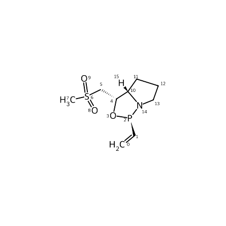 C=C[P@@]1O[C@H](CS(C)(=O)=O)[C@@H]2CCCN21